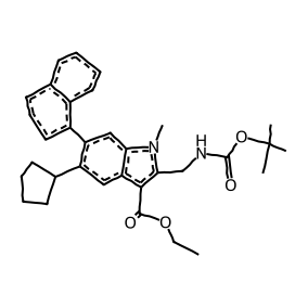 CCOC(=O)c1c(CNC(=O)OC(C)(C)C)n(C)c2cc(-c3cccc4ccccc34)c(C3CCCC3)cc12